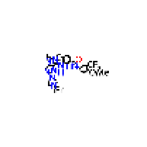 COc1ccc(NC(=O)c2ccc(C)c(Nc3ncnc4cnc(N5CCN(C(C)C)CC5)nc34)c2)cc1C(F)(F)F